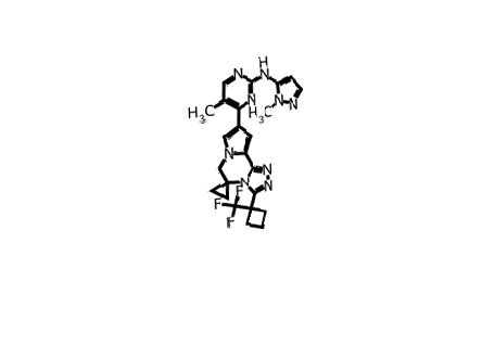 Cc1cnc(Nc2ccnn2C)nc1-c1cc2n(c1)CC1(CC1)n1c-2nnc1C1(C(F)(F)F)CCC1